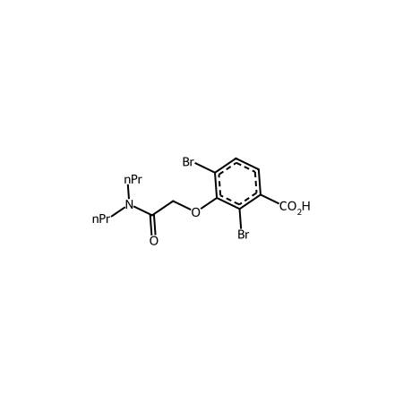 CCCN(CCC)C(=O)COc1c(Br)ccc(C(=O)O)c1Br